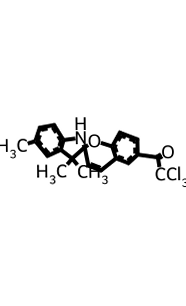 Cc1ccc2c(c1)C(C)(C)C1(C=Cc3cc(C(=O)C(Cl)(Cl)Cl)ccc3O1)N2